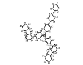 c1ccc(-c2ccc(-c3ccc(N(c4ccc(-c5nccc6c5oc5ccccc56)cc4)c4ccc(-c5ccnc6c5oc5ccccc56)cc4)cc3)cc2)cc1